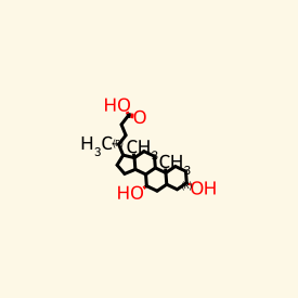 C[C@H](CCC(=O)O)C1CCC2C3C(O)CC4C[C@H](O)CCC4(C)C3CCC21C